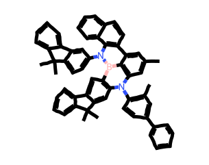 Cc1cc2c3c(c1)N(c1ccc(-c4ccccc4)cc1C)c1cc4c(cc1B3N(c1ccc3c(c1)-c1ccccc1C3(C)C)c1c-2ccc2ccccc12)-c1ccccc1C4(C)C